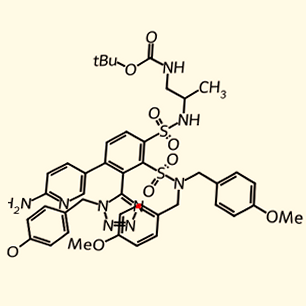 COc1ccc(CN(Cc2ccc(OC)cc2)S(=O)(=O)c2c(S(=O)(=O)NC(C)CNC(=O)OC(C)(C)C)ccc(-c3ccc(N)nc3)c2-c2nnnn2Cc2ccc(OC)cc2)cc1